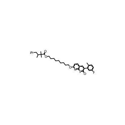 Cc1ccc(F)cc1-c1cc2ccc(OCCCCCCCCCOC(=O)C(C)(C)C(C)CC(C)C)nc2sc1=O